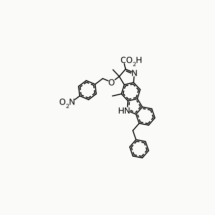 Cc1c2c(cc3c1[nH]c1c(Cc4ccccc4)cccc13)N=C(C(=O)O)C2(C)OCc1ccc([N+](=O)[O-])cc1